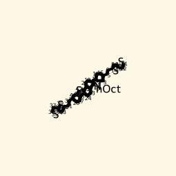 CCCCCCCCn1c2cc(/C=C/c3cc4sccc4s3)ccc2c2ccc3c(ccc4c5ccc(/C=C/c6cc7sccc7s6)cc5sc43)c21